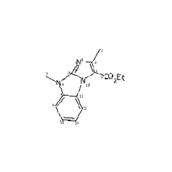 CCOC(=O)c1c(C)nc2n(C)c3ccccc3n12